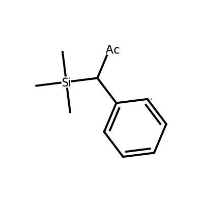 CC(=O)C(c1[c]cccc1)[Si](C)(C)C